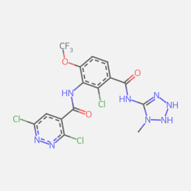 CN1NNN=C1NC(=O)c1ccc(OC(F)(F)F)c(NC(=O)c2cc(Cl)nnc2Cl)c1Cl